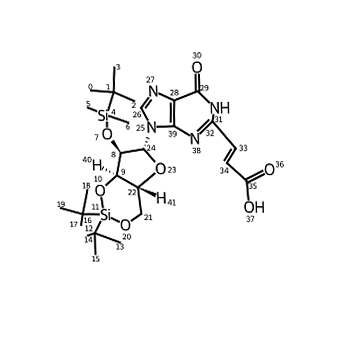 CC(C)(C)[Si](C)(C)O[C@@H]1[C@@H]2O[Si](C(C)(C)C)(C(C)(C)C)OC[C@H]2O[C@H]1n1cnc2c(=O)[nH]c(C=CC(=O)O)nc21